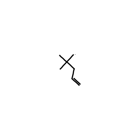 [CH2]C(C)(C)CC=C